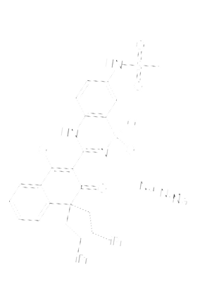 CC(C)CCC1(CCC(C)C)C(=O)C(C2=NS([O-])([O-])c3cc(NS(C)(=O)=O)ccc3N2)=C([O-])c2ccccc21.[Na+].[Na+].[Na+]